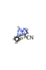 CN(C)C1=NC=CC(CC#N)N1c1nc2ccccc2s1